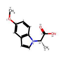 COc1ccc2c(ccn2[C@@H](C)C(=O)O)c1